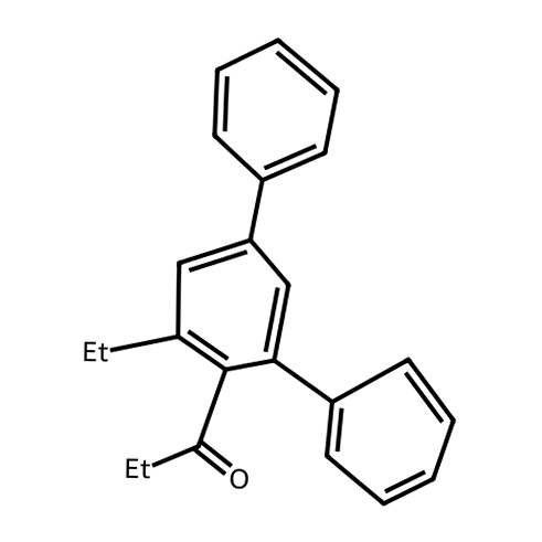 CCC(=O)c1c(CC)cc(-c2ccccc2)cc1-c1ccccc1